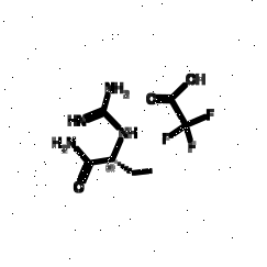 CC[C@@H](NC(=N)N)C(N)=O.O=C(O)C(F)(F)F